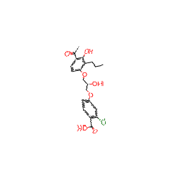 CCCc1c(OCC(O)COc2ccc(C(=O)O)c(Cl)c2)ccc(C(C)=O)c1O